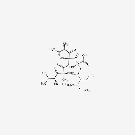 CC[C@@H](C)[C@H](NC)C(=O)CC(O)(C(=O)O)C(=O)C(O)(CC(=O)C(C)(O)C(=O)[C@@H](NC)C(C)C)C(=O)[C@H](C)NC